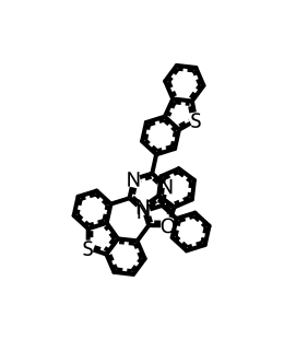 c1ccc(-c2nc(-c3ccc4c(c3)sc3ccccc34)nc(-c3cccc4sc5cccc(-c6nc7ccccc7o6)c5c34)n2)cc1